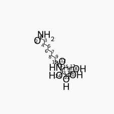 NC(=O)CCCCCCC[CH]C(=O)NC1CC(CO)C(O)C(O)C1O